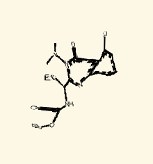 CC[C@H](NC(=O)OC(C)(C)C)c1nc2cccc(Cl)c2c(=O)n1N(C)C